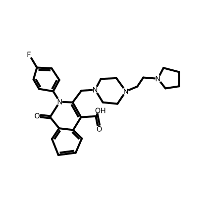 O=C(O)c1c(CN2CCN(CCN3CCCC3)CC2)n(-c2ccc(F)cc2)c(=O)c2ccccc12